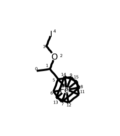 CC(OCI)[C]12[CH]3[CH]4[CH]5[CH]1[Fe]45321678[CH]2[CH]1[CH]6[CH]7[CH]28